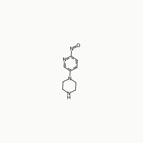 O=Nc1ccc(N2CCNCC2)cn1